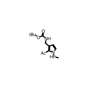 CPn1ccc(CNC(=O)OC(C)(C)C)c1C(C)=O